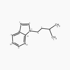 CC(C)CCn1cnc2cncnc21